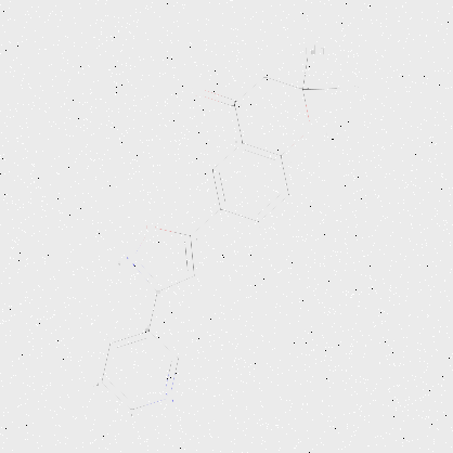 CCCC1(CCC)CC(=O)c2cc(-c3cc(-c4cccnc4)no3)ccc2O1